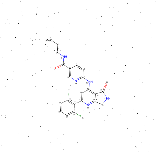 COCCNC(=O)c1ccc(Nc2cc(-c3c(F)cccc3F)nc3c2C(=O)NC3)nc1